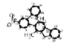 Cc1cc2c(c(C)c1-c1ccc([N+](=O)[O-])cc1-c1ccccc1)Cc1ccccc1-2